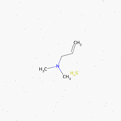 C=CCN(C)C.S